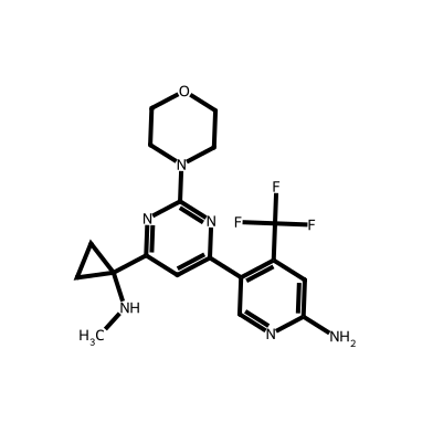 CNC1(c2cc(-c3cnc(N)cc3C(F)(F)F)nc(N3CCOCC3)n2)CC1